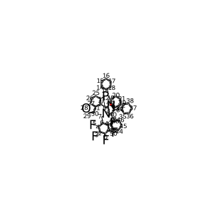 Fc1c(F)c(F)c(Cn2c(-c3c(P(c4ccccc4)c4ccccc4)ccc4occc34)nc(-c3ccccc3)c2-c2ccccc2)c(F)c1F